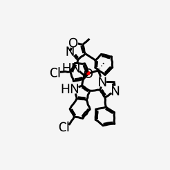 Cc1onc(NC(=O)c2[nH]c3cc(Cl)ccc3c2-c2c(-c3ccccc3)ncn2[C@@H](C)c2ccc(Cl)cc2)c1-c1ccccc1